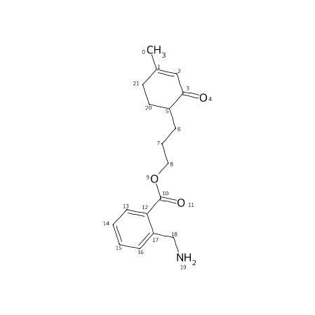 CC1=CC(=O)C(CCCOC(=O)c2ccccc2CN)CC1